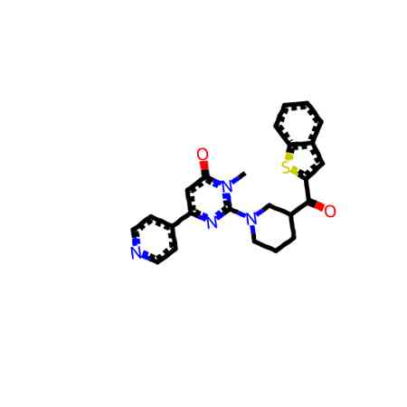 Cn1c(N2CCCC(C(=O)c3cc4ccccc4s3)C2)nc(-c2ccncc2)cc1=O